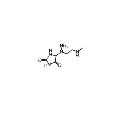 CNCCN(N)C1NC(=O)NC1=O